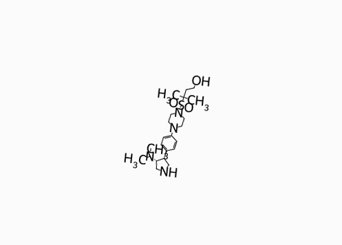 CN(C)[C@H]1CNC[C@@H]1c1ccc(N2CCN(S(=O)(=O)C(C)(C)CCO)CC2)cc1